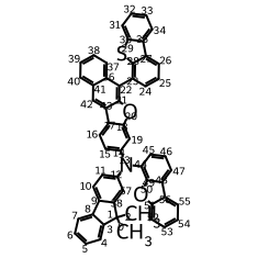 CC1(C)c2ccccc2-c2ccc(N(c3ccc4c(c3)oc3c(-c5cccc6c5sc5ccccc56)c5ccccc5cc34)c3cccc4c3oc3ccccc34)cc21